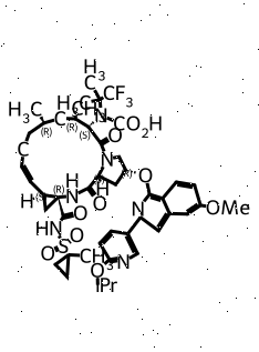 COc1ccc2c(O[C@@H]3C[C@H]4C(=O)N[C@]5(C(=O)NS(=O)(=O)C6(C)CC6)C[C@H]5C=CCC[C@@H](C)C[C@@H](C)[C@H](N(C(=O)O)C(C)(C)C(F)(F)F)C(=O)N4C3)nc(-c3ccc(OC(C)C)nc3)cc2c1